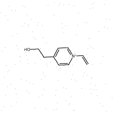 C=C[n+]1ccc(CCO)cc1